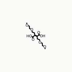 COCCOCC/C(C(=O)O)=C(/CCOCCOC)C(=O)O